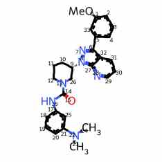 COc1cccc(-c2nn([C@H]3CCCN(C(=O)Nc4cccc(N(C)C)c4)C3)c3ncccc23)c1